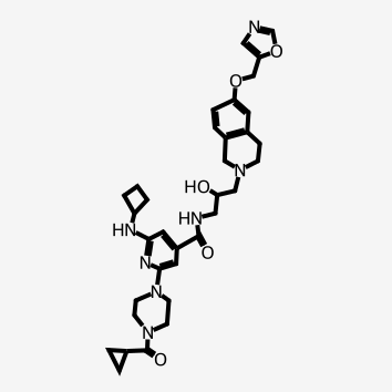 O=C(NCC(O)CN1CCc2cc(OCc3cnco3)ccc2C1)c1cc(NC2CCC2)nc(N2CCN(C(=O)C3CC3)CC2)c1